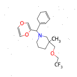 CC1(COCC(F)(F)F)CCCN(C(C2=CC=CCC2)C2=COC=CO2)C1